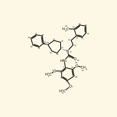 COc1cc(OC)c(NC(=O)N(CCc2ccccc2C)[C@H]2CC[C@H](c3ccccc3)CC2)c(OC)c1